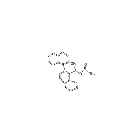 CC(OC(N)=O)c1c(-c2c(O)ccc3ccccc23)ccc2ccccc12